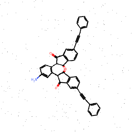 Nc1ccc(C2C(=O)c3ccc(C#Cc4ccccc4)cc3C2=O)c(C2C(=O)c3ccc(C#Cc4ccccc4)cc3C2=O)c1